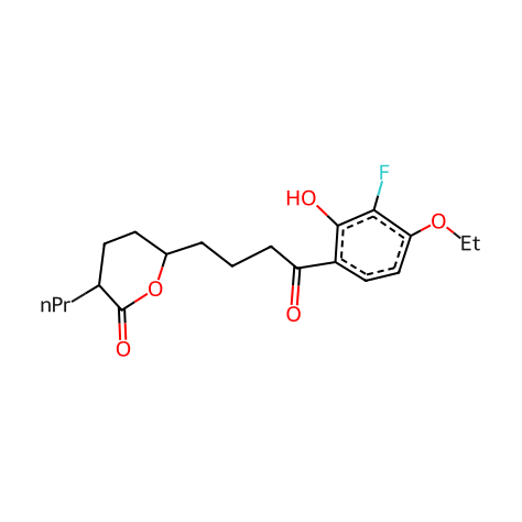 CCCC1CCC(CCCC(=O)c2ccc(OCC)c(F)c2O)OC1=O